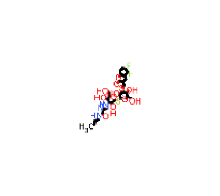 CCCCNC(=O)c1cn(C2C(O)[C@H](S[C@@H]3O[C@H](CO)C(O)C(OCc4cc5c(F)c(F)ccc5oc4=O)[C@H]3O)OC(CO)[C@@H]2O)nn1